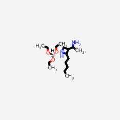 CCCCCC1NCC1C(C)N.CCO[SiH](OCC)OCC